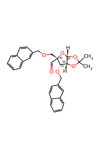 CC1(C)O[C@H]2O[C@](C=O)(COCc3ccc4ccccc4c3)[C@@H](OCc3ccc4ccccc4c3)[C@H]2O1